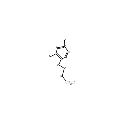 [CH2]c1cc(C)ccc1C[CH]CC(=O)OCC